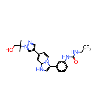 CC(C)(CO)n1cc(C2=CC3NC=C(c4cccc(NC(=O)NCC(F)(F)F)c4)N3C=C2)cn1